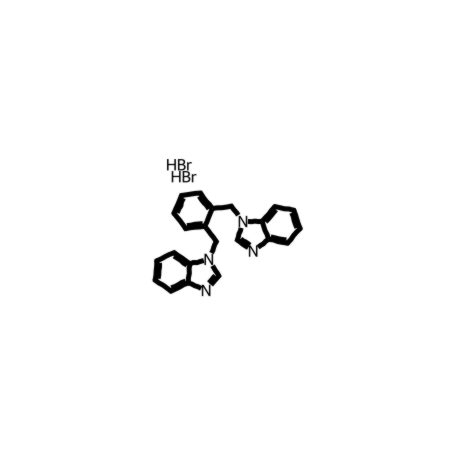 Br.Br.c1ccc(Cn2cnc3ccccc32)c(Cn2cnc3ccccc32)c1